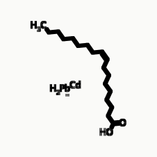 CCCCCCCC/C=C\CCCCCCCC(=O)O.[Cd].[PbH2]